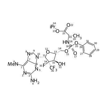 CNc1nc(N)nc2c1ncn2[C@@H]1O[C@H](CO[P@](=O)(N[C@@H](C)C(=O)OC(C)C)Oc2ccccc2)[C@@H](O)[C@]1(F)C(F)(F)F